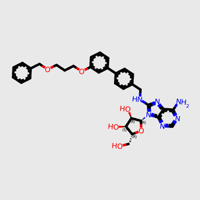 Nc1ncnc2c1nc(NCc1ccc(-c3cccc(OCCCOCc4ccccc4)c3)cc1)n2[C@@H]1O[C@H](CO)[C@@H](O)[C@H]1O